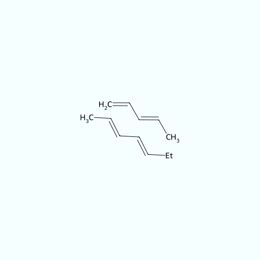 C=CC=CC.CC=CC=CCC